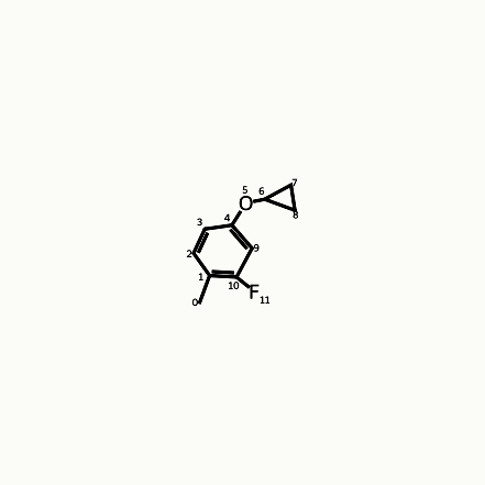 Cc1ccc(OC2CC2)cc1F